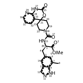 COC(=O)[C@@H](Cc1cc(C)c2[nH]ncc2c1)NC(=O)N1CCC2(CC1)OC(=O)Nc1ncccc12